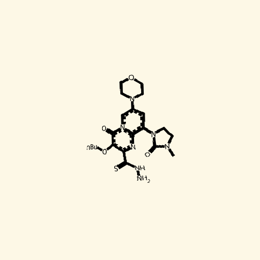 CCCCOc1c(C(=S)NN)nc2c(N3CCN(C)C3=O)cc(N3CCOCC3)cn2c1=O